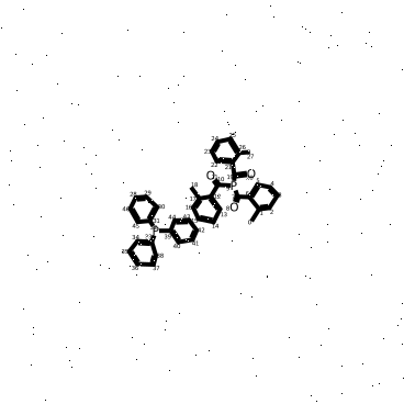 Cc1ccccc1C(=O)P(C(=O)c1ccccc1C)C(=O)c1ccccc1C.c1ccc(P(c2ccccc2)c2ccccc2)cc1